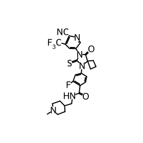 CN1CCC(CNC(=O)c2ccc(N3C(=S)N(c4cnc(C#N)c(C(F)(F)F)c4)C(=O)C34CCC4)cc2F)CC1